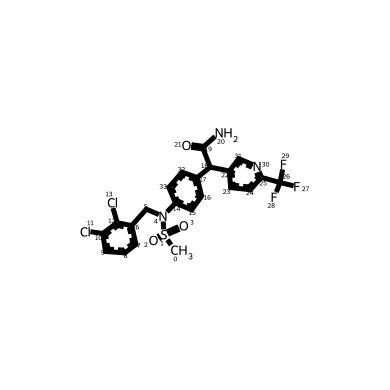 CS(=O)(=O)N(Cc1cccc(Cl)c1Cl)c1ccc(C(C(N)=O)c2ccc(C(F)(F)F)nc2)cc1